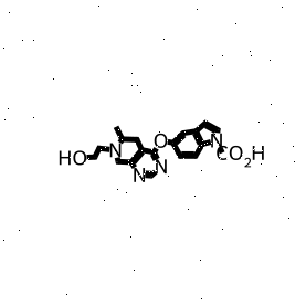 CC1Cc2c(ncnc2Oc2ccc3c(ccn3C(=O)O)c2)CN1CCO